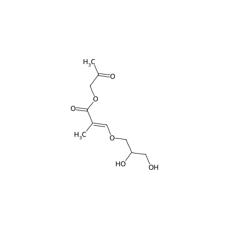 CC(=O)COC(=O)C(C)=COCC(O)CO